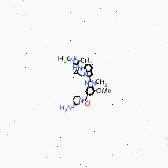 COc1cc(C(=O)N2CCC[C@@H](CN)C2)cc2nc(-c3cc4cccc(Nc5cn(C)nc5C)c4n3CC3CC3)n(C)c12